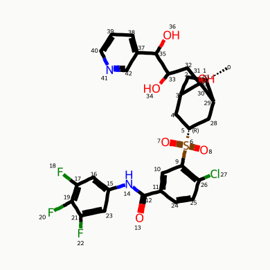 C[C@H]1CC2C[C@@H](S(=O)(=O)c3cc(C(=O)Nc4cc(F)c(F)c(F)c4)ccc3Cl)CC1[C@@]2(O)CC(O)C(O)c1cccnc1